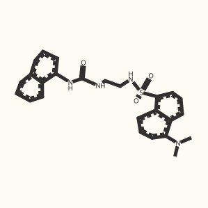 CN(C)c1cccc2c(S(=O)(=O)NCCNC(=O)Nc3cccc4ccccc34)cccc12